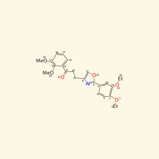 CCOc1ccc(-c2nc(CCC(=O)c3cccc(OC)c3OC)co2)cc1OCC